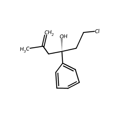 C=C(C)C[C@@](O)(CCCl)c1ccccc1